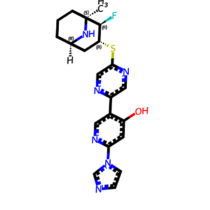 C[C@]12CCC[C@H](C[C@@H](Sc3cnc(-c4cnc(-n5ccnc5)cc4O)cn3)[C@@H]1F)N2